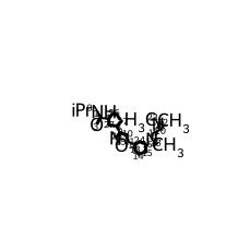 CC(C)NC(=O)c1cccc(-c2cc(-c3cccc(N(C)CCN(C)C)c3)on2)c1